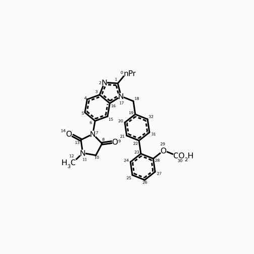 CCCc1nc2ccc(N3C(=O)CN(C)C3=O)cc2n1Cc1ccc(-c2ccccc2OC(=O)O)cc1